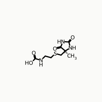 C[C@@]1(CSCCNC(=O)O)NC(=O)NC1=O